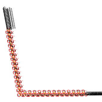 O=S([O-])[O-].O=S([O-])[O-].O=S([O-])[O-].O=S([O-])[O-].O=S([O-])[O-].O=S([O-])[O-].O=S([O-])[O-].O=S([O-])[O-].O=S([O-])[O-].O=S([O-])[O-].O=S([O-])[O-].O=S([O-])[O-].O=S([O-])[O-].O=S([O-])[O-].O=S([O-])[O-].O=S([O-])[O-].O=S([O-])[O-].O=S([O-])[O-].O=S([O-])[O-].O=S([O-])[O-].O=S([O-])[O-].O=S([O-])[O-].O=S([O-])[O-].O=S([O-])[O-].O=S([O-])[O-].O=S([O-])[O-].O=S([O-])[O-].O=S([O-])[O-].[Ca+2].[Ca+2].[Ca+2].[Ca+2].[Ca+2].[Ca+2].[Ca+2].[Ca+2].[Ca+2].[Ca+2].[Ca+2].[Ca+2].[Ca+2].[Ca+2].[Ca+2].[Ca+2].[Ca+2].[Ca+2].[Ca+2].[Ca+2].[Ca+2].[Ca+2].[Ca+2].[Ca+2].[Ca+2].[Ca+2].[Ca+2].[Ca+2]